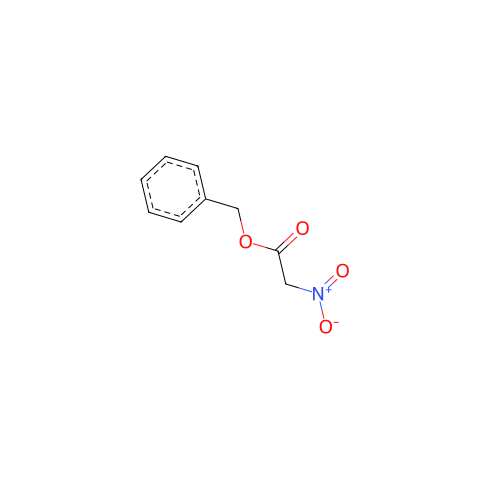 O=C(C[N+](=O)[O-])OCc1ccccc1